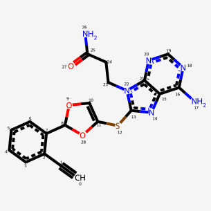 C#Cc1ccccc1C1OC=C(Sc2nc3c(N)ncnc3n2CCC(N)=O)O1